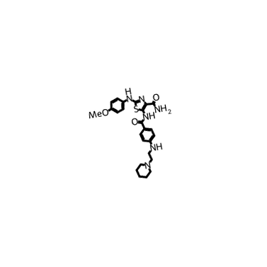 COc1ccc(Nc2nc(C(N)=O)c(NC(=O)c3ccc(NCCN4CCCCC4)cc3)s2)cc1